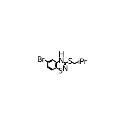 CC(C)CSC1=NSc2ccc(Br)cc2N1